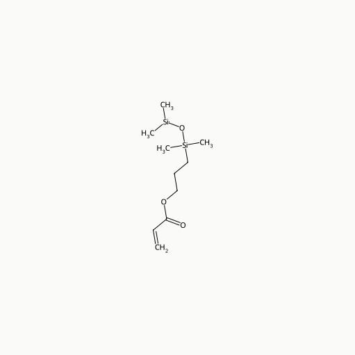 C=CC(=O)OCCC[Si](C)(C)O[Si](C)C